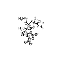 C=C(C)C1(C)CC2=CC(C)(C(CC)C(CO[N+](=O)[O-])O[N+](=O)[O-])CC(CCN)(C2)C1